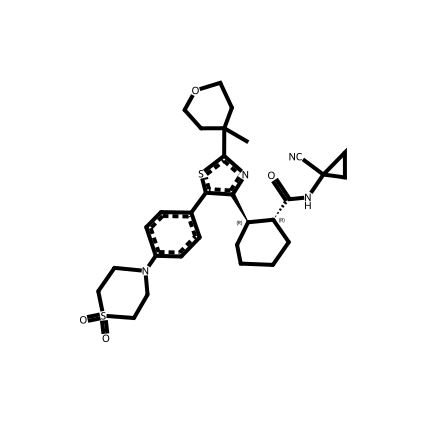 CC1(c2nc([C@@H]3CCCC[C@H]3C(=O)NC3(C#N)CC3)c(-c3ccc(N4CCS(=O)(=O)CC4)cc3)s2)CCOCC1